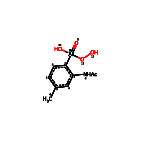 CC(=O)Nc1cc(C)ccc1[As](=O)(O)OO